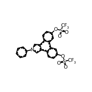 O=S(=O)(Oc1ccc2c(c1)c1cc(OS(=O)(=O)C(F)(F)F)ccc1c1cn(-c3ccccc3)cc21)C(F)(F)F